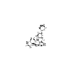 CCN1Cc2cc(-c3cccnn3)ccc2C(c2ccc3sccc3c2OC)C1